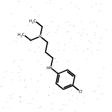 CCN(CC)CCCNc1ccc(Cl)cc1